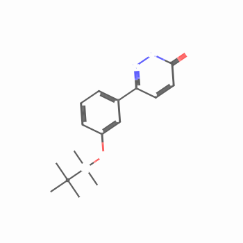 CC(C)(C)[Si](C)(C)Oc1cccc(-c2ccc(=O)[nH]n2)c1